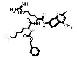 Cc1cc(=O)oc2cc(NC(=O)[C@H](CCCNC(=N)N)NC(=O)[C@H](CCCCN)NC(=O)OCc3ccccc3)ccc12